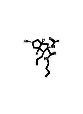 C=CC[C@H]1[C@@H]2C[C@H](O)C[C@@H]2C[C@@]1(NC(C)=O)C(=O)NCCCC